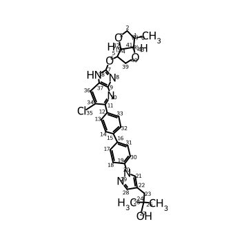 C[C@@H]1CO[C@@H]2C(Oc3nc4nc(-c5ccc(-c6ccc(-n7cc(CC(C)(C)O)cn7)cc6)cc5)c(Cl)cc4[nH]3)CO[C@H]12